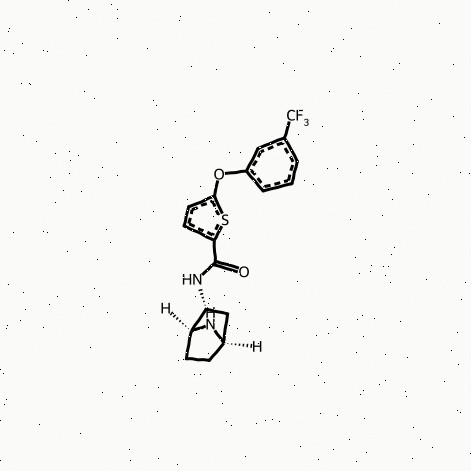 O=C(N[C@@H]1C[C@H]2CC[C@@H]1N2)c1ccc(Oc2cccc(C(F)(F)F)c2)s1